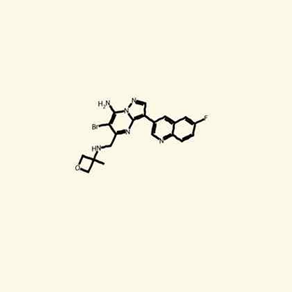 CC1(NCc2nc3c(-c4cnc5ccc(F)cc5c4)cnn3c(N)c2Br)COC1